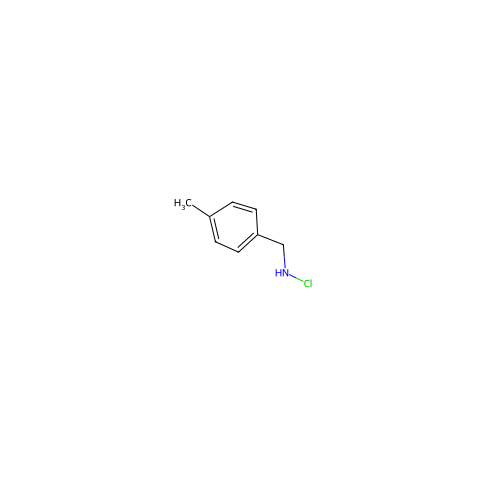 Cc1ccc(CNCl)cc1